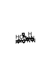 CN1CCN(Cc2cccc(-c3cnc(Nc4ccncn4)cc3OCC3(CO)CCCC3)c2)CC1